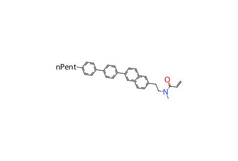 C=CC(=O)N(C)CCc1ccc2cc(-c3ccc(-c4ccc(CCCCC)cc4)cc3)ccc2c1